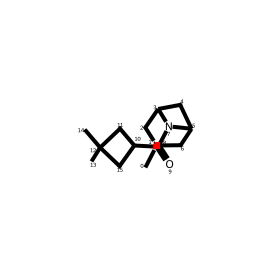 CN1CC2CC(C1)N2C(=O)C1CC(C)(C)C1